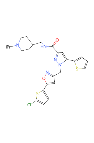 CC(C)N1CCC(CNC(=O)c2cc(-c3cccs3)n(Cc3cc(-c4ccc(Cl)s4)on3)n2)CC1